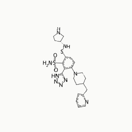 NS(=O)(=O)c1c(SN[C@@H]2CCNC2)ccc(N2CCC(Cc3ccccn3)CC2)c1-c1nnn[nH]1